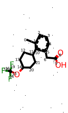 Cc1cccc(CC(=O)O)c1C1CCC(OC(F)(F)F)CC1